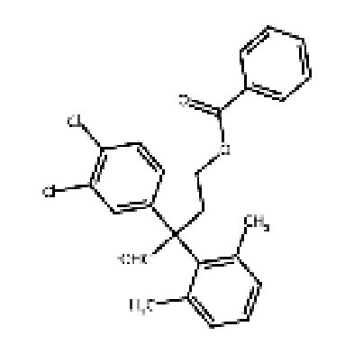 Cc1cccc(C)c1C([C]=O)(CCOC(=O)c1ccccc1)c1ccc(Cl)c(Cl)c1